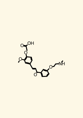 CNCCOc1cccc(C(=O)C=Cc2ccc(OCC(=O)O)c(OC)c2)c1